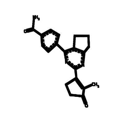 CC1=C(c2nc3c(c(-c4ccc(C(N)=O)cc4)n2)CCC3)CCC1=O